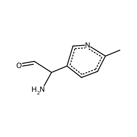 Cc1ccc(C(N)C=O)cn1